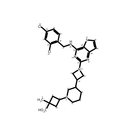 CC1(C(=O)O)CC(N2CCCC(C3CN(c4nc(NCc5ccc(Cl)cc5Cl)c5sccc5n4)C3)C2)C1